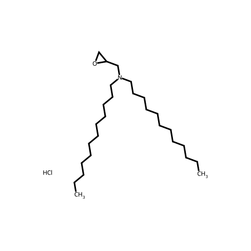 CCCCCCCCCCCCN(CCCCCCCCCCCC)CC1CO1.Cl